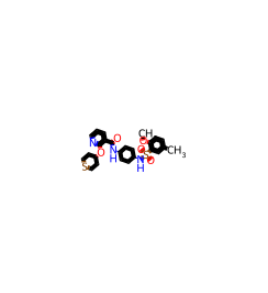 COc1ccc(C)cc1S(=O)(=O)N[C@H]1CC[C@@H](NC(=O)c2cccnc2OC2CCSCC2)CC1